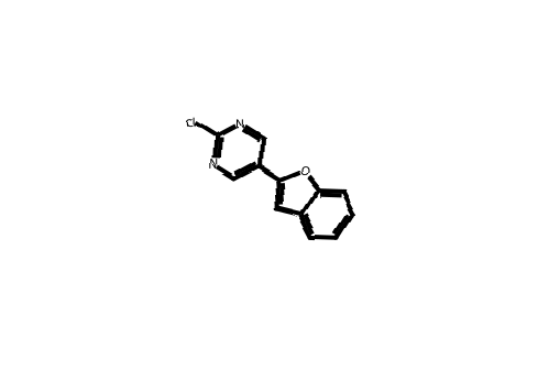 Clc1ncc(-c2cc3ccccc3o2)cn1